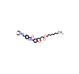 CCCCCCCCOC(=O)CC1COc2ccc(NC(=O)c3ccc(/C=N/N4CCSCC4)cc3)cc2C1